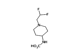 O=C(O)NC1CCN(CC(F)F)CC1